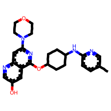 Cc1ccc(NC2CCC(Oc3nc(N4CCOCC4)cc4ncc(O)cc34)CC2)nc1